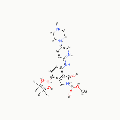 CN1CCN(c2ccc(Nc3ccc(B4OC(C)(C)C(C)(C)O4)c4c3C(=O)N(C(=O)OC(C)(C)C)C4)nc2)CC1